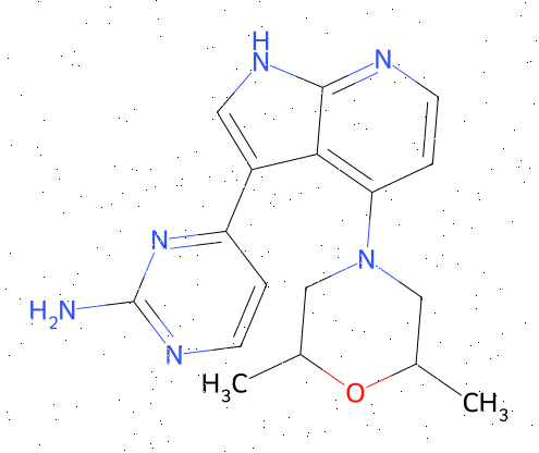 CC1CN(c2ccnc3[nH]cc(-c4ccnc(N)n4)c23)CC(C)O1